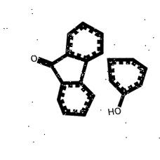 O=C1c2ccccc2-c2ccccc21.Oc1ccccc1